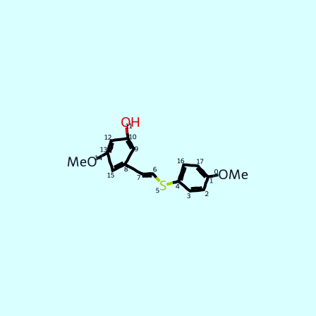 COc1ccc(S/C=C/c2cc(O)cc(OC)c2)cc1